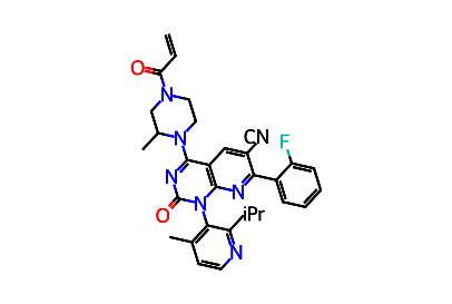 C=CC(=O)N1CCN(c2nc(=O)n(-c3c(C)ccnc3C(C)C)c3nc(-c4ccccc4F)c(C#N)cc23)C(C)C1